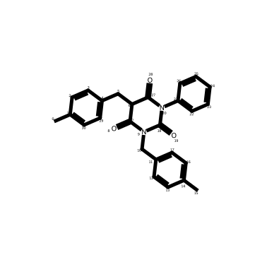 Cc1ccc(CC2C(=O)N(Cc3ccc(C)cc3)C(=O)N(c3ccccc3)C2=O)cc1